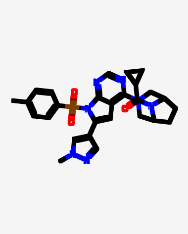 Cc1ccc(S(=O)(=O)n2c(-c3cnn(C)c3)cc3c(N4CC5CCC(C4)N5C(=O)C4CC4)ncnc32)cc1